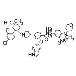 CN(c1ccc(S(=O)(=O)NC(=O)c2ccc(C3=CCN(CC4=C(c5ccc(Cl)cc5F)CC(C)(C)CC4)CC3)cc2Oc2cnc3[nH]ccc3c2)cc1[N+](=O)[O-])C1CCOCC1